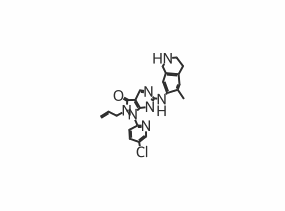 C=CCn1c(=O)c2cnc(Nc3cc4c(cc3C)CCNC4)nc2n1-c1ccc(Cl)cn1